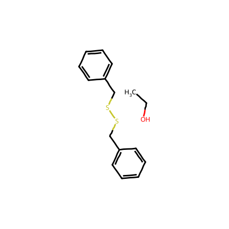 CCO.c1ccc(CSSCc2ccccc2)cc1